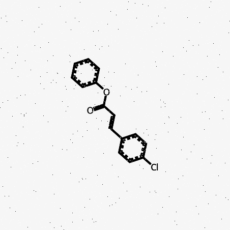 O=C(C=Cc1ccc(Cl)cc1)Oc1ccccc1